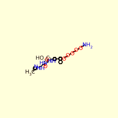 Cc1ccnc(NCCCC(=O)NCC(=O)N[C@@H](CC(=O)O)c2ccc(-c3ccc(OCCOCCOCCOCCOCCN)c4c3CCCC4)cc2)c1